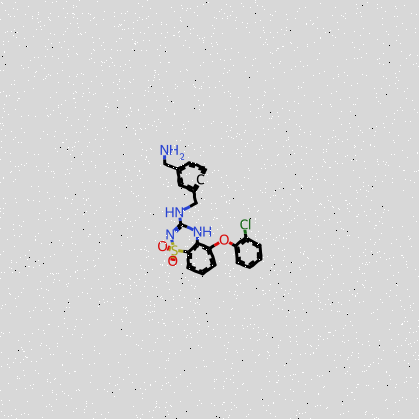 NCc1cccc(CNC2=NS(=O)(=O)c3cccc(Oc4ccccc4Cl)c3N2)c1